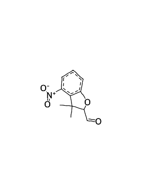 CC1(C)c2c(cccc2[N+](=O)[O-])OC1C=O